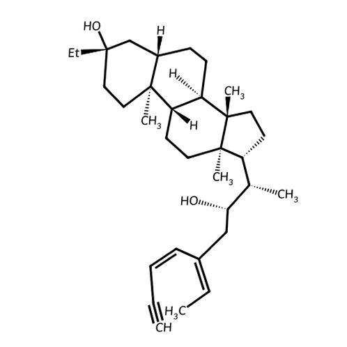 C#C/C=C\C(=C/C)C[C@H](O)[C@@H](C)[C@H]1CC[C@@]2(C)[C@@H]3CC[C@H]4C[C@](O)(CC)CC[C@]4(C)[C@H]3CC[C@]12C